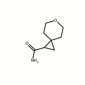 NC(=O)C1CC12CCOCC2